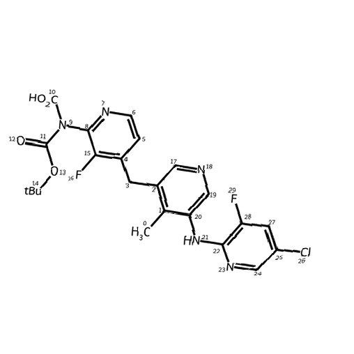 Cc1c(Cc2ccnc(N(C(=O)O)C(=O)OC(C)(C)C)c2F)cncc1Nc1ncc(Cl)cc1F